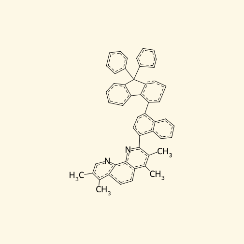 Cc1cnc2c(ccc3c(C)c(C)c(-c4ccc(-c5cccc6c5-c5ccccc5C6(c5ccccc5)c5ccccc5)c5ccccc45)nc32)c1C